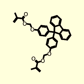 C=C(C)C(=O)OCOc1ccc(C2(c3ccc(OCOC(=O)C(=C)C)cc3)c3ccccc3-c3ccccc32)cc1